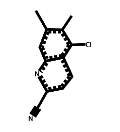 Cc1cc2nc(C#N)ccc2c(Cl)c1C